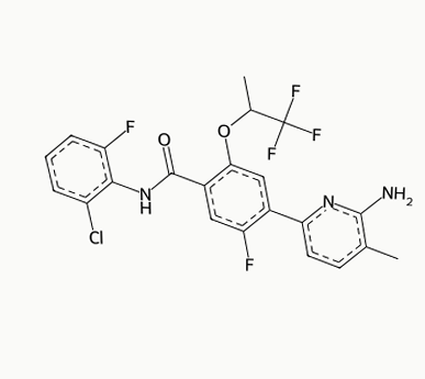 Cc1ccc(-c2cc(OC(C)C(F)(F)F)c(C(=O)Nc3c(F)cccc3Cl)cc2F)nc1N